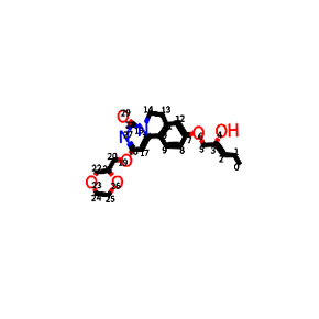 CC/C=C(\O)COc1ccc2c(c1)CCn1c-2cc(OCC2COCCO2)nc1=O